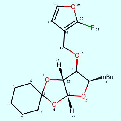 CCCC[C@H]1O[C@@H]2OC3(CCCCC3)O[C@@H]2[C@H]1OCc1ccoc1F